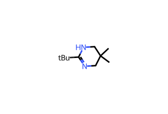 CC1(C)CN=C(C(C)(C)C)NC1